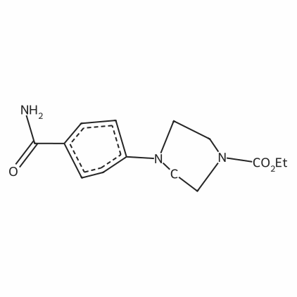 CCOC(=O)N1CCN(c2ccc(C(N)=O)cc2)CC1